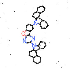 c1ccc2c(c1)ccc1c2c2ccccc2n1-c1ccc2oc3ncc(-n4c5ccccc5c5c6ccccc6ccc54)nc3c2c1